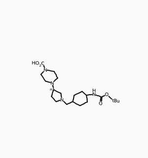 CC(C)(C)OC(=O)NC1CCC(CN2CC[C@@H](N3CCN(C(=O)O)CC3)C2)CC1